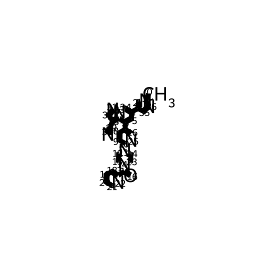 Cn1cc(-c2cc(-c3ccc(N4CCN(C(=O)c5ccccn5)CC4)nc3)c3c(C#N)cnn3c2)cn1